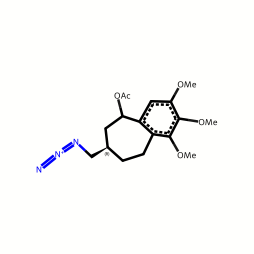 COc1cc2c(c(OC)c1OC)CC[C@@H](CN=[N+]=[N-])CC2OC(C)=O